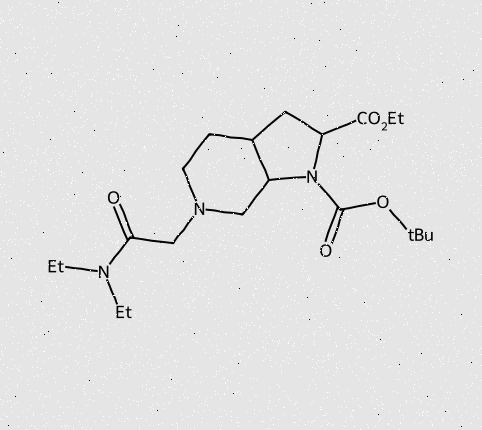 CCOC(=O)C1CC2CCN(CC(=O)N(CC)CC)CC2N1C(=O)OC(C)(C)C